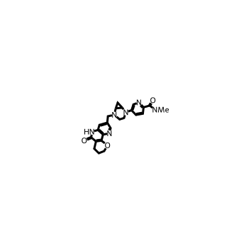 CNC(=O)c1ccc(N2CCN(Cc3cnc4c5c(c(=O)[nH]c4c3)CCCO5)C3CC32)cn1